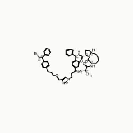 CCN[C@@H](c1ccccc1)c1ccc(CCCOCc2cn(CCCc3ccc([C@@H](NC(=O)[C@@H]4CC[C@@H]5CCCC[C@H](NC(=O)[C@H](C)NC)C(=O)N54)c4ccccc4)cc3)nn2)cc1